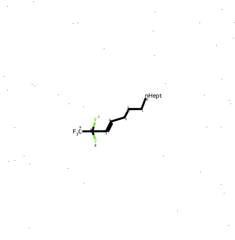 CCCCCCCCCCC=CC(F)(F)C(F)(F)F